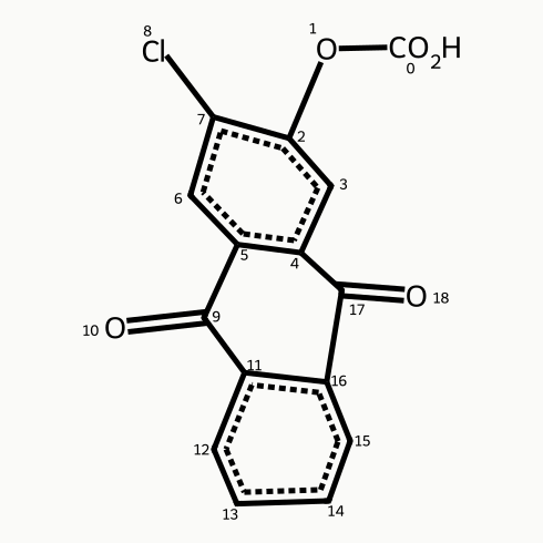 O=C(O)Oc1cc2c(cc1Cl)C(=O)c1ccccc1C2=O